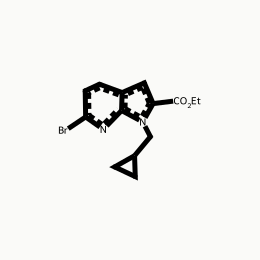 CCOC(=O)c1cc2ccc(Br)nc2n1CC1CC1